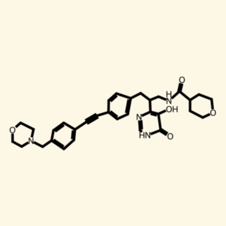 O=C(NCC(Cc1ccc(C#Cc2ccc(CN3CCOCC3)cc2)cc1)c1nc[nH]c(=O)c1O)C1CCOCC1